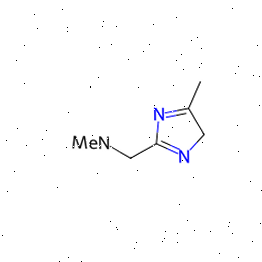 CNCC1=NCC(C)=N1